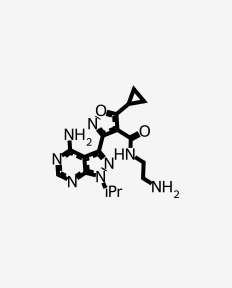 CC(C)n1nc(-c2noc(C3CC3)c2C(=O)NCCN)c2c(N)ncnc21